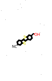 N#Cc1ccc2c(c1)sc1c3ccc(CO)cc3sc21